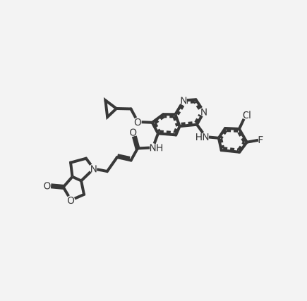 O=C(C=CCN1CCC2C(=O)OCC21)Nc1cc2c(Nc3ccc(F)c(Cl)c3)ncnc2cc1OCC1CC1